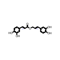 O=C(/C=C/c1ccc(O)c(O)c1)OC/C=C/c1ccc(O)c(O)c1